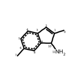 CC1=Cc2ccc(C)cc2C1N